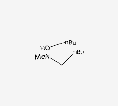 CCCCCNC.CCCCO